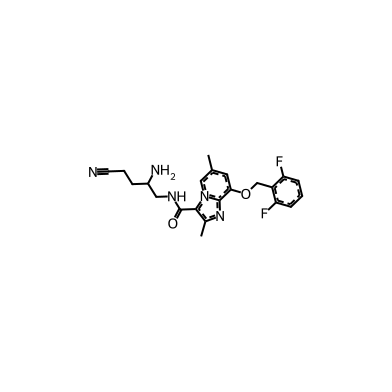 Cc1cc(OCc2c(F)cccc2F)c2nc(C)c(C(=O)NCC(N)CCC#N)n2c1